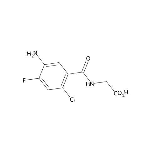 Nc1cc(C(=O)NCC(=O)O)c(Cl)cc1F